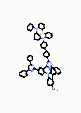 Cc1ccc2c(c1)c1ccccc1n2-c1ccc(-c2nc(-c3ccccc3)cc(-c3ccccc3)n2)cc1-c1nc(-c2ccccc2)nc(-c2ccc(-c3ccc(N4c5ccccc5B5c6ccccc6N(c6ccccc6)c6cccc4c65)cc3)cc2)n1